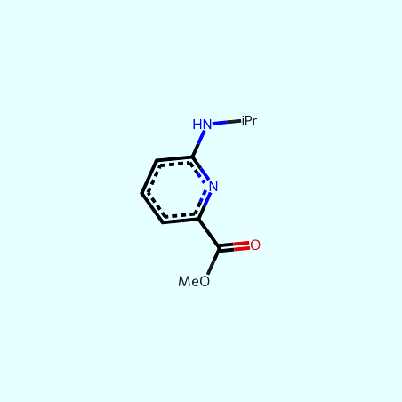 COC(=O)c1cccc(NC(C)C)n1